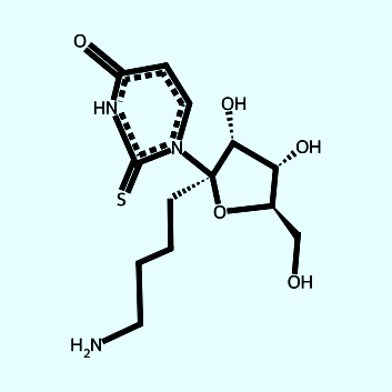 NCCCC[C@@]1(n2ccc(=O)[nH]c2=S)O[C@H](CO)[C@@H](O)[C@H]1O